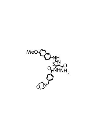 COc1ccc2cc(Nc3nc(C(N)=O)c(NC(=O)c4ccc(CN5CCOCC5)cc4)s3)ccc2c1